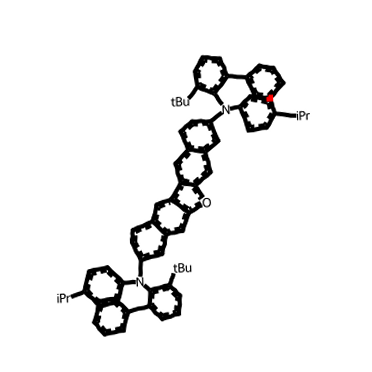 CC(C)c1ccc(N(c2ccc3cc4c(cc3c2)oc2cc3cc(N(c5ccc(C(C)C)cc5)c5c(-c6ccccc6)cccc5C(C)(C)C)ccc3cc24)c2c(-c3ccccc3)cccc2C(C)(C)C)cc1